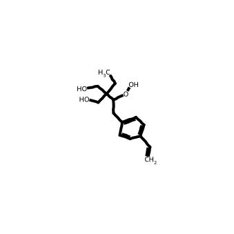 C=Cc1ccc(CC(OO)C(CC)(CO)CO)cc1